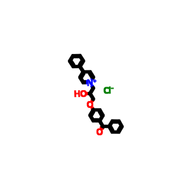 O=C(c1ccccc1)c1ccc(OCC(O)C[n+]2ccc(-c3ccccc3)cc2)cc1.[Cl-]